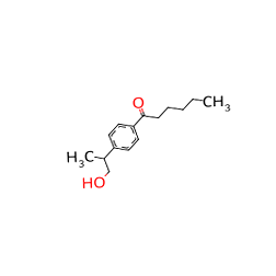 CCCCCC(=O)c1ccc(C(C)CO)cc1